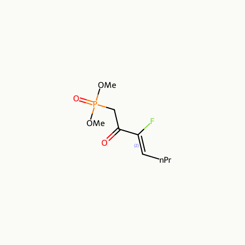 CCC/C=C(\F)C(=O)CP(=O)(OC)OC